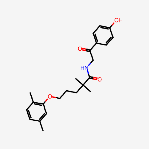 Cc1ccc(C)c(OCCCC(C)(C)C(=O)NCC(=O)c2ccc(O)cc2)c1